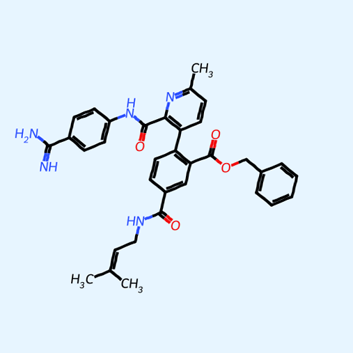 CC(C)=CCNC(=O)c1ccc(-c2ccc(C)nc2C(=O)Nc2ccc(C(=N)N)cc2)c(C(=O)OCc2ccccc2)c1